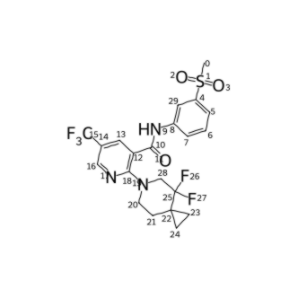 CS(=O)(=O)c1cccc(NC(=O)c2cc(C(F)(F)F)cnc2N2CCC3(CC3)C(F)(F)C2)c1